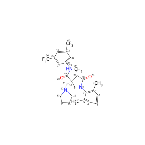 Cc1cccc(C)c1N1C[C@@](CN2CCCC2)(C(=O)Nc2cc(C(F)(F)F)cc(C(F)(F)F)c2)[C@H](C)C1=O